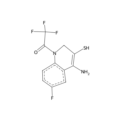 NC1=C(S)CN(C(=O)C(F)(F)F)c2ccc(F)cc21